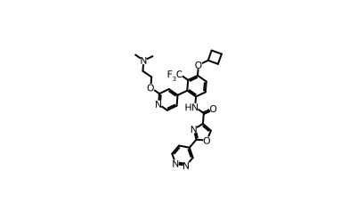 CN(C)CCOc1cc(-c2c(NC(=O)c3coc(-c4ccnnc4)n3)ccc(OC3CCC3)c2C(F)(F)F)ccn1